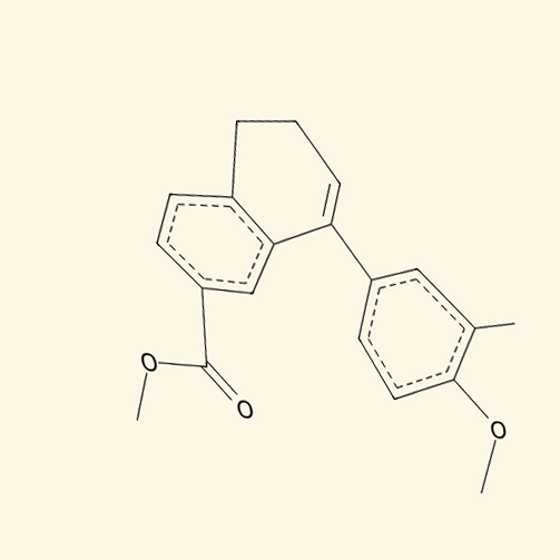 COC(=O)c1ccc2c(c1)C(c1ccc(OC)c(C)c1)=CCC2